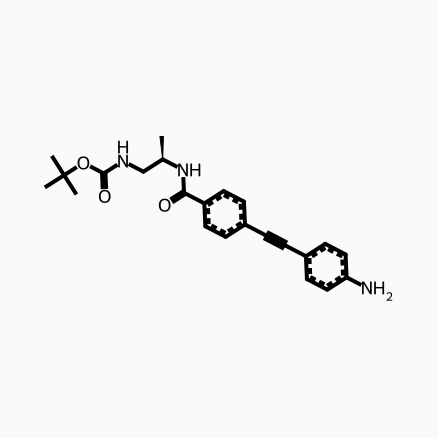 C[C@H](CNC(=O)OC(C)(C)C)NC(=O)c1ccc(C#Cc2ccc(N)cc2)cc1